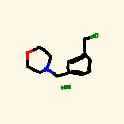 Cl.ClCc1cccc(CN2CCOCC2)c1